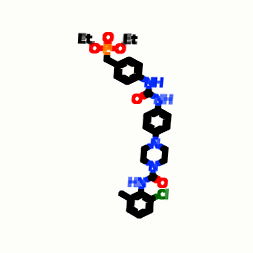 CCOP(=O)(Cc1ccc(NC(=O)Nc2ccc(N3CCN(C(=O)Nc4c(C)cccc4Cl)CC3)cc2)cc1)OCC